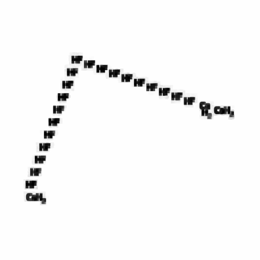 F.F.F.F.F.F.F.F.F.F.F.F.F.F.F.F.F.F.F.F.[CaH2].[CaH2].[CaH2]